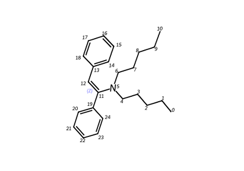 CCCCCN(CCCCC)/C(=C\c1ccccc1)c1ccccc1